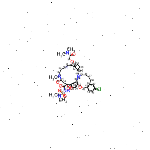 CN(C)C(=O)CO[C@H]1/C=C/CCN(C)C(=O)CC(O)(C(=O)NS(=O)(=O)N(C)C)c2ccc3c(c2)N(CCCCc2cc(Cl)ccc2CO3)C[C@@H]2CC[C@H]21